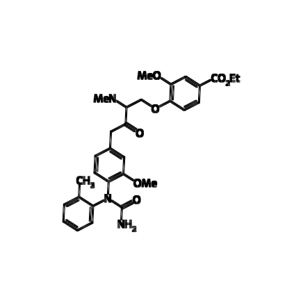 CCOC(=O)c1ccc(OCC(NC)C(=O)Cc2ccc(N(C(N)=O)c3ccccc3C)c(OC)c2)c(OC)c1